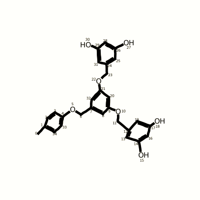 Cc1ccc(OCc2cc(OCc3cc(O)cc(O)c3)cc(OCc3cc(O)cc(O)c3)c2)cc1